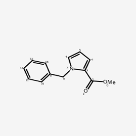 COC(=O)c1cccn1Cc1ccccc1